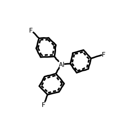 Fc1cc[c]([Al]([c]2ccc(F)cc2)[c]2ccc(F)cc2)cc1